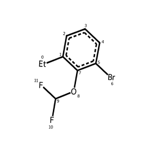 CCc1cccc(Br)c1OC(F)F